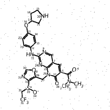 CN(C)C(=O)c1cc2cnc(Nc3ccc(OC4CCNC4)cc3)nc2n(Cc2ocnc2[S+]([O-])CC(F)(F)F)c1=O